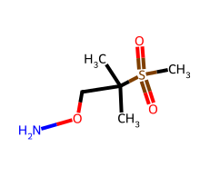 CC(C)(CON)S(C)(=O)=O